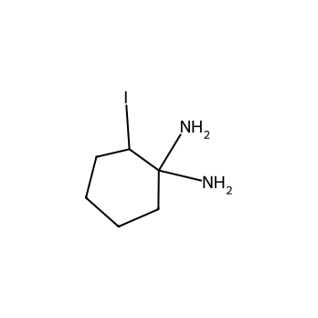 NC1(N)CCCCC1I